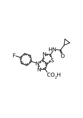 O=C(O)c1nn(-c2ccc(F)cc2)c2nc(NC(=O)C3CC3)sc12